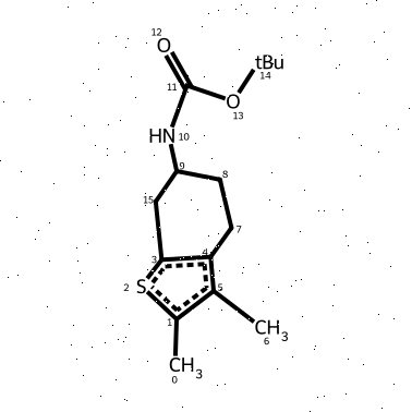 Cc1sc2c(c1C)CCC(NC(=O)OC(C)(C)C)C2